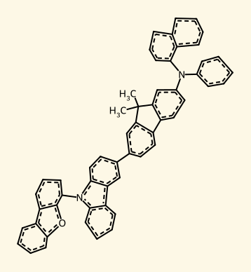 CC1(C)c2cc(-c3ccc4c(c3)c3ccccc3n4-c3cccc4c3oc3ccccc34)ccc2-c2ccc(N(c3ccccc3)c3cccc4ccccc34)cc21